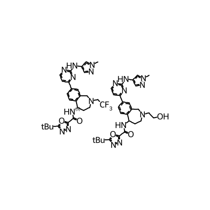 Cn1cc(Nc2nccc(-c3ccc4c(c3)CN(CC(F)(F)F)CC[C@@H]4NC(=O)c3nnc(C(C)(C)C)o3)n2)cn1.Cn1cc(Nc2nccc(-c3ccc4c(c3)CN(CCO)CCC4NC(=O)c3nnc(C(C)(C)C)o3)n2)cn1